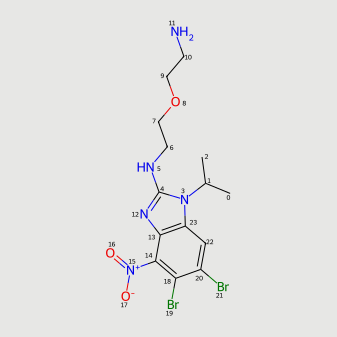 CC(C)n1c(NCCOCCN)nc2c([N+](=O)[O-])c(Br)c(Br)cc21